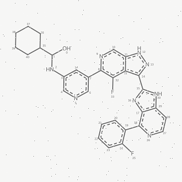 OC(Nc1cncc(-c2ncc3[nH]nc(-c4nc5c(-c6ccccc6F)nccc5[nH]4)c3c2F)c1)C1CCCCC1